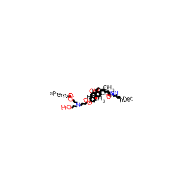 CCCCCCCCCCCCCCNC(=O)CC[C@@H](C)[C@H]1CC[C@H]2[C@@H]3[C@@H](O)C[C@@H]4C[C@H](OC(=O)CCCN(CCCO)CCCOC(=O)CCCCC)CC[C@]4(C)[C@H]3CC[C@]12C